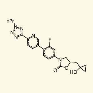 CCCn1nnc(-c2ccc(-c3ccc(N4C[C@H](CC5(O)CC5)OC4=O)cc3F)cn2)n1